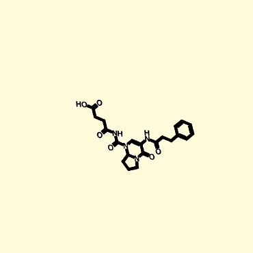 O=C(O)CCC(=O)NC(=O)N1C=C(NC(=O)CCc2ccccc2)C(=O)N2CCCC12